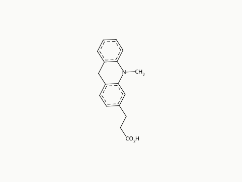 CN1c2ccccc2Cc2ccc(CCC(=O)O)cc21